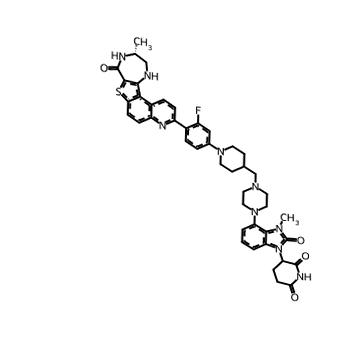 C[C@@H]1CNc2c(sc3ccc4nc(-c5ccc(N6CCC(CN7CCN(c8cccc9c8n(C)c(=O)n9C8CCC(=O)NC8=O)CC7)CC6)cc5F)ccc4c23)C(=O)N1